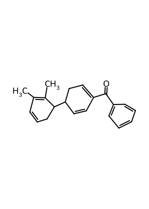 CC1=C(C)C(C2C=CC(C(=O)c3ccccc3)=CC2)CC=C1